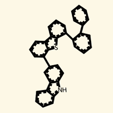 c1ccc(-c2ccccc2-c2cccc3c2sc2c(-c4ccc5[nH]c6ccccc6c5c4)cccc23)cc1